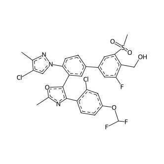 Cc1nc(-c2ccc(OC(F)F)cc2Cl)c(-c2cc(-c3cc(F)c(CO)c(S(C)(=O)=O)c3)ccc2-n2cc(Cl)c(C)n2)o1